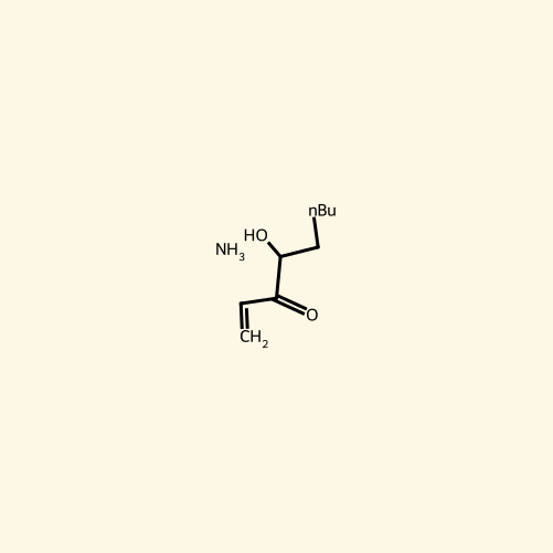 N.[CH2]CCCCC(O)C(=O)C=C